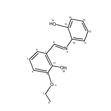 CCOc1cccc(C=Nc2ccccc2O)c1O